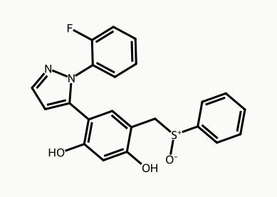 [O-][S+](Cc1cc(-c2ccnn2-c2ccccc2F)c(O)cc1O)c1ccccc1